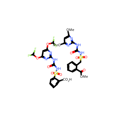 COC(=O)c1ccccc1CS(=O)(=O)NC(=O)Nc1nc(OC)cc(OC)n1.O=C(Nc1nc(OC(F)F)cc(OC(F)F)n1)NS(=O)(=O)c1ccccc1C(=O)O